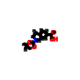 C[C@H]1CN(C(=O)OC(C)(C)C)Cc2cc(C(=O)O)ccc21